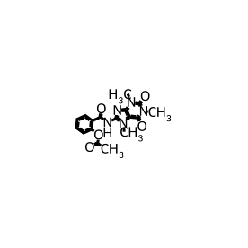 CC(=O)Oc1ccccc1C(=O)Nc1nc2c(c(=O)n(C)c(=O)n2C)n1C